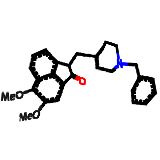 COc1cc2c3c(cccc3c1OC)C(CC1CCN(Cc3ccccc3)CC1)C2=O